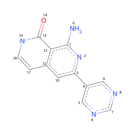 Nc1nc(-c2cncnc2)cc2c1C(=O)[N]C=C2